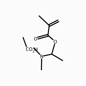 C=C(C)C(=O)OC(C)N(C)C.CC(=O)O